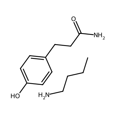 CCCCN.NC(=O)CCc1ccc(O)cc1